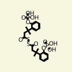 CC(C)(CC(=O)SSC(=O)CC(C)(C)c1ccccc1OP(=O)(O)O)c1ccccc1OP(=O)(O)O